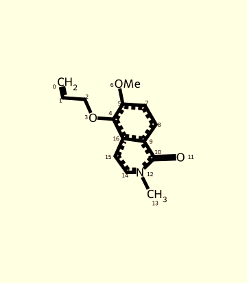 C=CCOc1c(OC)ccc2c(=O)n(C)ccc12